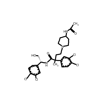 CC(=O)NC1CCN(CCC(C)(C(=O)N[C@@H](CO)c2ccc(Cl)c(Cl)c2)c2ccc(Cl)c(Cl)c2)CC1